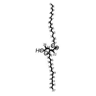 CCCCCCCCCCCCCCCCCCOC(=O)C(C)=C(C=C(C)C(=O)O)CCCCCCCCCCCCCCCCCC